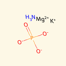 N.O=P([O-])([O-])[O-].[K+].[Mg+2]